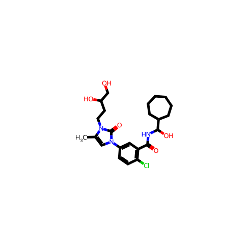 Cc1cn(-c2ccc(Cl)c(C(=O)NC(O)C3CCCCCC3)c2)c(=O)n1CCC(O)CO